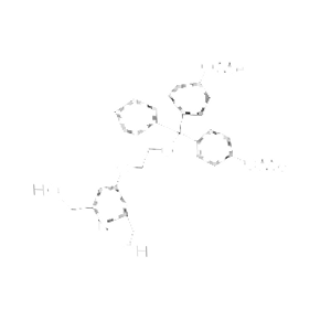 COc1ccc(C(OCCOc2cc(CO)nc(CO)c2)(c2ccccc2)c2ccc(OC)cc2)cc1